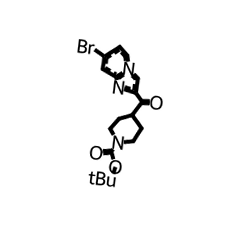 CC(C)(C)OC(=O)N1CCC(C(=O)c2cn3ccc(Br)cc3n2)CC1